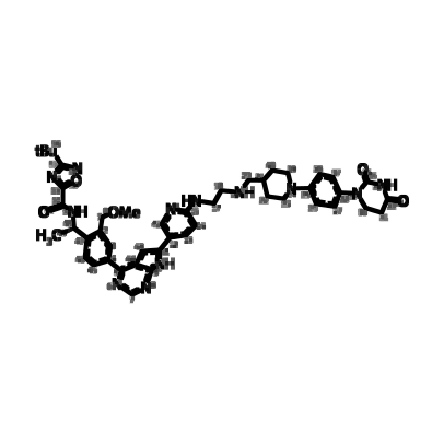 COCc1cc(-c2ncnc3[nH]c(-c4ccc(NCCNCC5CCN(c6ccc(N7CCC(=O)NC7=O)cc6)CC5)nc4)cc23)ccc1[C@@H](C)NC(=O)c1nc(C(C)(C)C)no1